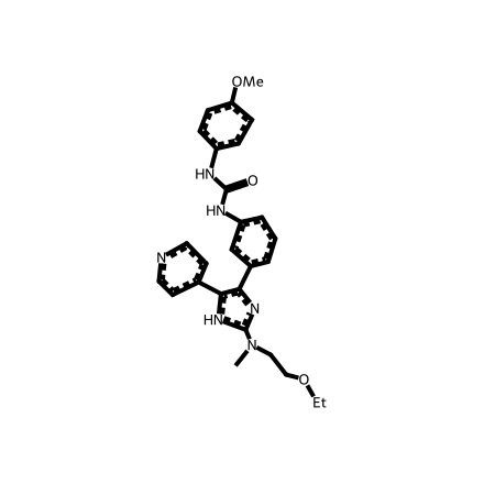 CCOCCN(C)c1nc(-c2cccc(NC(=O)Nc3ccc(OC)cc3)c2)c(-c2ccncc2)[nH]1